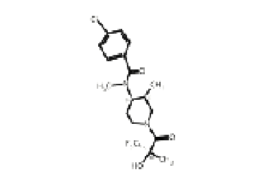 C[C@H]1CN(C(=O)[C@@](C)(O)C(F)(F)F)CC[C@H]1N(C)C(=O)c1ccc(Cl)cc1